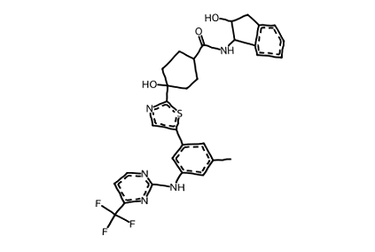 Cc1cc(Nc2nccc(C(F)(F)F)n2)cc(-c2cnc(C3(O)CCC(C(=O)NC4c5ccccc5CC4O)CC3)s2)c1